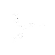 CCOC(=O)Cc1cc2c(s1)CCN(C(=O)[C@H](Cc1ccccc1)NC(=O)c1ccc(C(=N)N)cc1)C2.O=C(O)C(F)(F)F